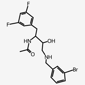 CC(=O)NC(Cc1cc(F)cc(F)c1)C(O)CNCc1cccc(Br)c1